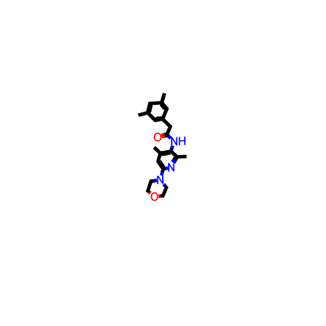 Cc1cc(C)cc(CC(=O)Nc2c(C)cc(N3CCOCC3)nc2C)c1